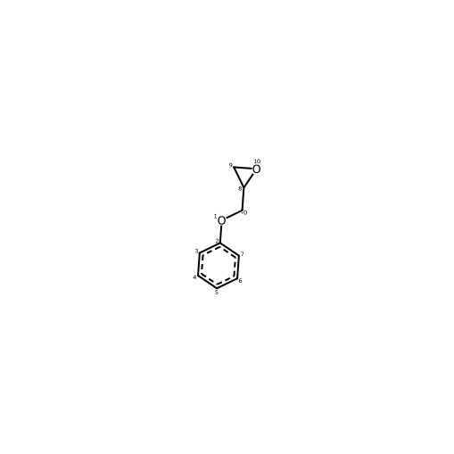 [CH](Oc1ccccc1)C1CO1